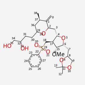 C=C1C(C[C@@H]2O[C@H](CC3COC(C)(C)O3)[C@H](OC)[C@H]2CS(=O)(=O)c2ccccc2)OC(CCC(O)CO)C[C@H]1C